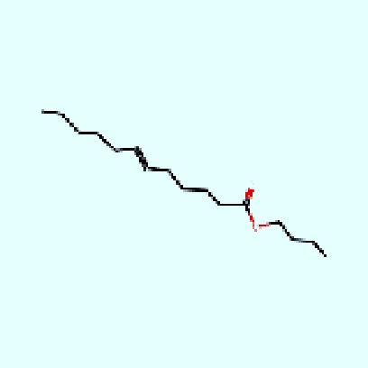 CCCCC/C=C/CCCCC(=O)OCCCC